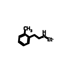 C[CH]NCCc1ccccc1C